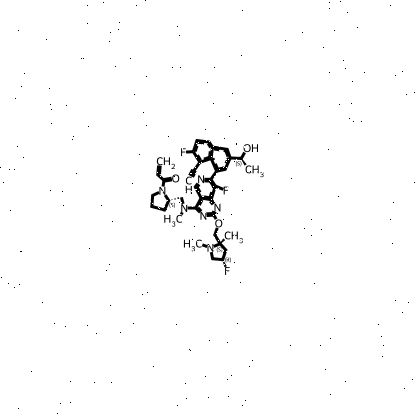 C#Cc1c(F)ccc2cc([C@H](C)O)cc(-c3ncc4c(N(C)C[C@@H]5CCCN5C(=O)C=C)nc(OC[C@]5(C)C[C@@H](F)CN5C)nc4c3F)c12